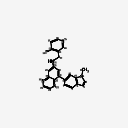 Cn1ccc2ccc(-c3cc(NCc4cnccc4F)cc4nccnc34)cc21